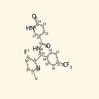 Cc1ccc(F)c([C@@H](NC(=O)c2ccc(=O)[nH]c2)c2ccc(C(F)(F)F)cc2)n1